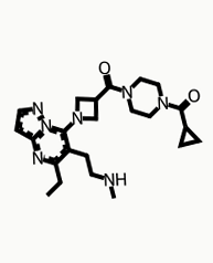 CCc1nc2ccnn2c(N2CC(C(=O)N3CCN(C(=O)C4CC4)CC3)C2)c1CCNC